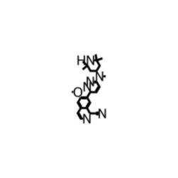 COc1cc2ccnc(C#N)c2cc1-c1ccc(N(C)C2CC(C)(C)NC(C)(C)C2)nn1